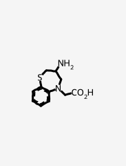 NC1CSc2ccccc2N(CC(=O)O)C1